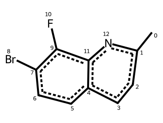 Cc1ccc2ccc(Br)c(F)c2n1